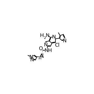 Cc1ccncc1-c1nc(N)c2cnc(NC(=O)[C@@H]3C[C@H]3c3cnn(C)c3)cc2c1Cl